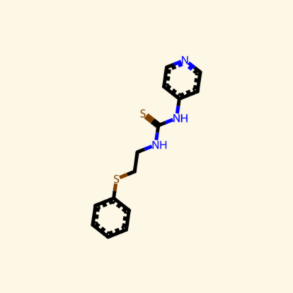 S=C(NCCSc1ccccc1)Nc1ccncc1